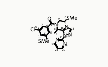 CSCCN(C(=O)c1cc(Cl)cc(SC)c1)C(C)c1ncnn1-c1ncccn1